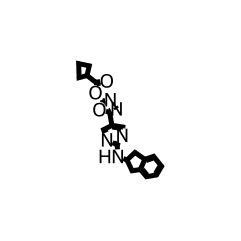 O=C(Oc1nnc(-c2cnc(NC3Cc4ccccc4C3)nc2)o1)C1CCC1